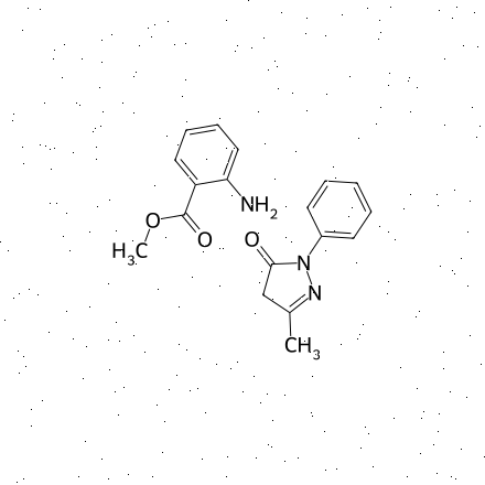 CC1=NN(c2ccccc2)C(=O)C1.COC(=O)c1ccccc1N